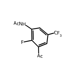 CC(=O)Nc1cc(C(F)(F)F)cc(C(C)=O)c1F